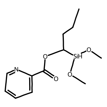 CCCC(OC(=O)c1ccccn1)[SiH](OC)OC